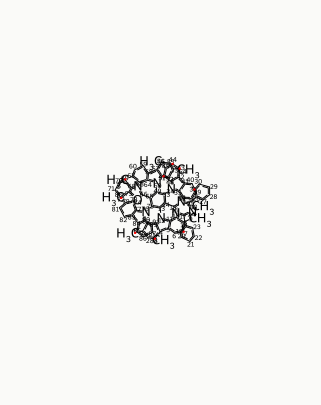 Cc1ccc2c3ccc(C)cc3n(-c3c(-c4nc(-c5ccccc5)nc(-c5ccccc5)n4)c(-n4c5cc(C)ccc5c5ccc(C)cc54)c(-n4c5cc(C)ccc5c5ccc(C)cc54)c(-c4nc5ccccc5o4)c3-n3c4cc(C)ccc4c4ccc(C)cc43)c2c1